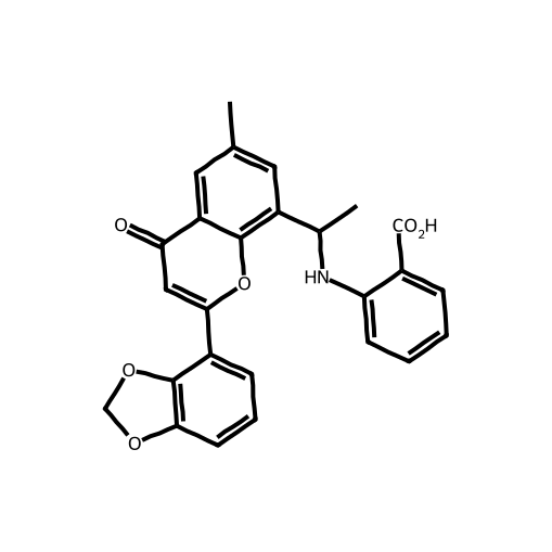 Cc1cc(C(C)Nc2ccccc2C(=O)O)c2oc(-c3cccc4c3OCO4)cc(=O)c2c1